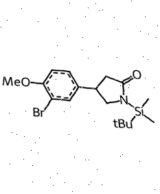 COc1ccc(C2CC(=O)N([Si](C)(C)C(C)(C)C)C2)cc1Br